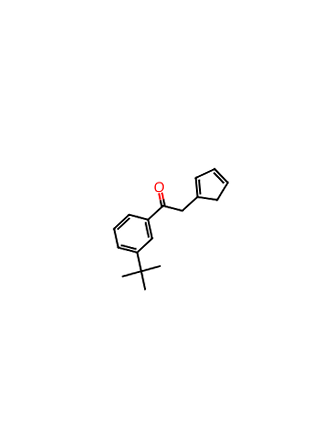 CC(C)(C)c1cccc(C(=O)CC2=CC=CC2)c1